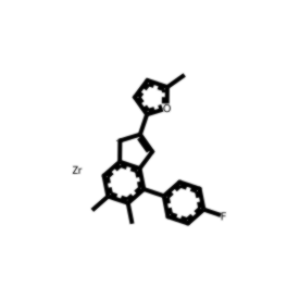 Cc1ccc(C2=Cc3c(cc(C)c(C)c3-c3ccc(F)cc3)[CH]2)o1.[Zr]